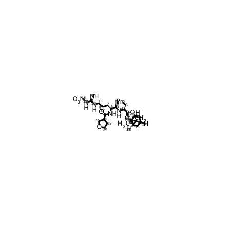 CC(C)C[C@H](NC(=O)[C@H](CCCNC(=N)N[N+](=O)[O-])NC(=O)C1CCOC1)B1O[C@@H]2C[C@@H]3C[C@@H](C3(C)C)[C@]2(C)O1